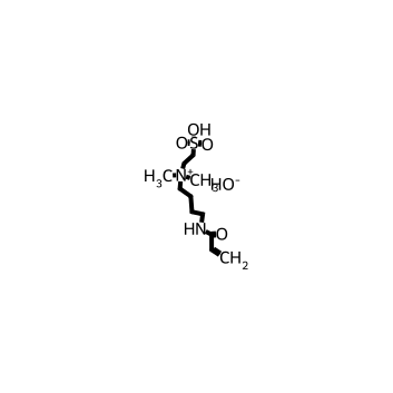 C=CC(=O)NCCCC[N+](C)(C)CCS(=O)(=O)O.[OH-]